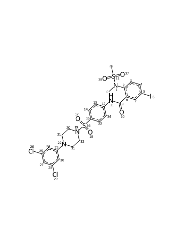 CN(c1ccc(I)cc1C(=O)Nc1ccc(S(=O)(=O)N2CCN(c3cc(Cl)cc(Cl)c3)CC2)cc1)S(C)(=O)=O